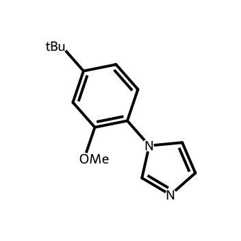 COc1cc(C(C)(C)C)ccc1-n1ccnc1